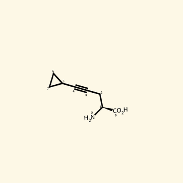 N[C@@H](CC#CC1CC1)C(=O)O